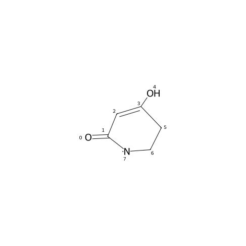 O=C1C=C(O)CC[N]1